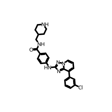 O=C(NCC1CCNCC1)c1ccc(Nc2nc3c(-c4cccc(Cl)c4)cccn3n2)cc1